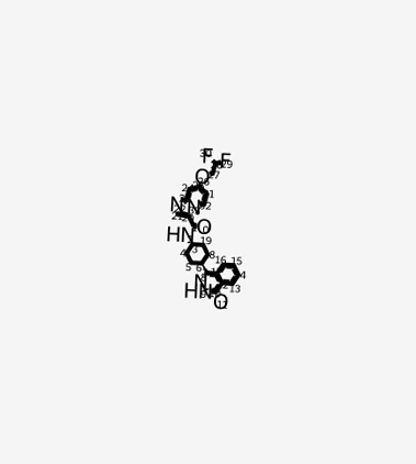 O=C(N[C@H]1CC[C@H](c2n[nH]c(=O)c3ccccc32)CC1)c1cnc2cc(OCC(F)F)ccn12